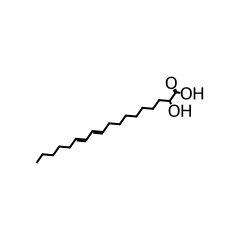 CCCCC/C=C/C=C/CCCCCCCC(O)C(=O)O